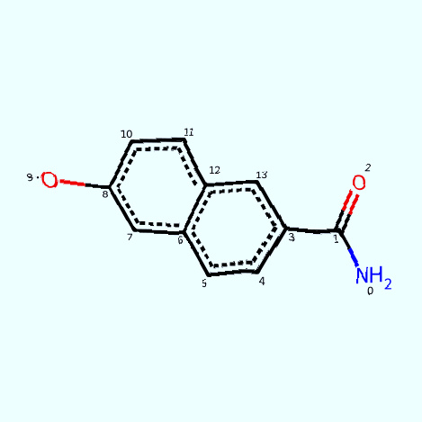 NC(=O)c1ccc2cc([O])ccc2c1